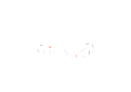 COc1ccc2c(CC(O)CN3CCC(COS(=O)(=O)c4ccc(C)cc4)C3)cccc2c1OC